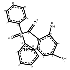 O=C(c1c(S)cc(S)cc1S)P(=O)(c1ccccc1)c1ccccc1